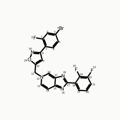 Fc1cc(Br)ccc1-c1cc(Cn2ccc3nc(-c4cccc(F)c4F)nc-3c2)on1